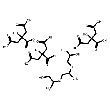 CC(O)COC(C)COC(C)CO.O=C(O)CC(O)(CC(=O)O)C(=O)O.O=C(O)CC(O)(CC(=O)O)C(=O)O.O=C(O)CC(O)(CC(=O)O)C(=O)O